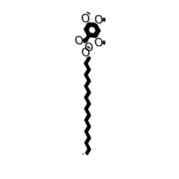 [CH2]CCCCCCCCCCCCCCCCCOOC(=O)c1cc(OC)c(OC)cc1OC